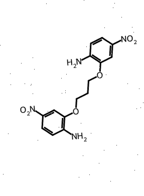 Nc1ccc([N+](=O)[O-])cc1OCCCOc1cc([N+](=O)[O-])ccc1N